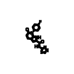 O=C(Nc1nncs1)c1cc2ccc(=O)n(-c3ccc(F)cc3)c2[nH]1